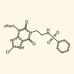 CCCCCn1c(=O)n(CCNS(=O)(=O)c2ccccc2)c(=O)c2[nH]c(Cl)nc21